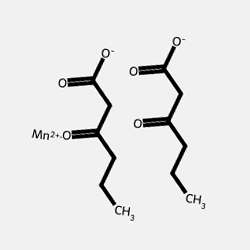 CCCC(=O)CC(=O)[O-].CCCC(=O)CC(=O)[O-].[Mn+2]